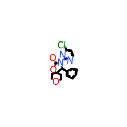 O=C1OC2(CCOCC2)C(c2ccccc2)N1c1nccc(Cl)n1